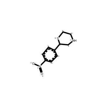 O=[N+]([O-])c1ccc(C2CNCCS2)cc1